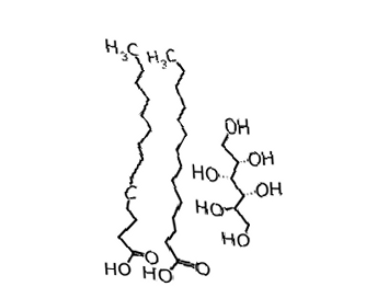 CCCCCCCCCCCCCC(=O)O.CCCCCCCCCCCCCC(=O)O.OC[C@@H](O)[C@@H](O)[C@H](O)[C@@H](O)CO